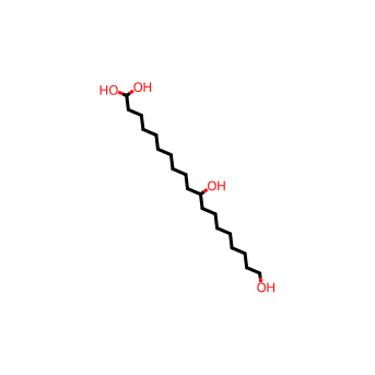 OCCCCCCCCC(O)CCCCCCCCCC(O)O